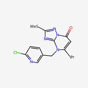 CSc1nc2n(Cc3ccc(Cl)nc3)c(C(C)C)cc(=O)n2n1